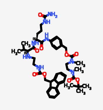 CC(C)[C@H](NCCNC(=O)OCC1c2ccccc2-c2ccccc21)C(=O)N[C@@H](CCCNC(N)=O)C(=O)Nc1ccc(COC(=O)N(C)CCN(C)C(=O)OC(C)(C)C)cc1